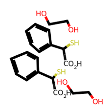 O=C(O)C(S)c1ccccc1.O=C(O)C(S)c1ccccc1.OCCO.OCCO